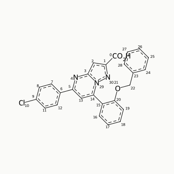 O=C(O)c1cc2nc(-c3ccc(Cl)cc3)cc(-c3ccccc3OCc3ccccc3)n2n1